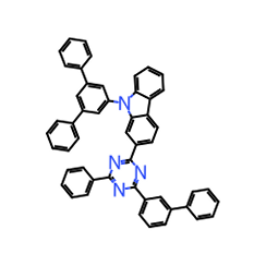 c1ccc(-c2cccc(-c3nc(-c4ccccc4)nc(-c4ccc5c6ccccc6n(-c6cc(-c7ccccc7)cc(-c7ccccc7)c6)c5c4)n3)c2)cc1